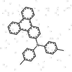 Cc1ccc(N(c2ccc(C)cc2)c2ccc3c4ccccc4c4ccccc4c3c2)cc1